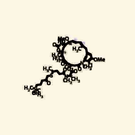 COc1cc2cc(c1Cl)N(C)C(=O)C[C@H](OC(=O)[C@H](C)N(C)C(=O)CCC(C)SCC(=O)CCC[Si](C)(C)O)[C@@]1(C)O[C@H]1C(C)(C)[C@@H]1C[C@@](O)(NC(=O)O1)[C@H](OC)/C=C/C=C(\C)C2